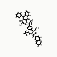 CC(C)(C)CCN([C@H](CO)c1ccc([C@@H](NC(=O)[C@@H](NC(=O)O)C(c2ccccc2)c2ccccc2)C(F)(F)F)s1)S(=O)(=O)c1ccc2ncccc2c1